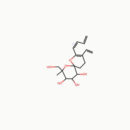 C=C/C=C\C1=C(C=C)CCC2(O1)OC(C)(CO)C(O)C(O)C2O